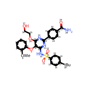 COc1ccccc1Oc1c(NS(=O)(=O)c2ccc(C(C)(C)C)cc2)nc(-c2ccc(C(N)=O)cc2)nc1OCCO